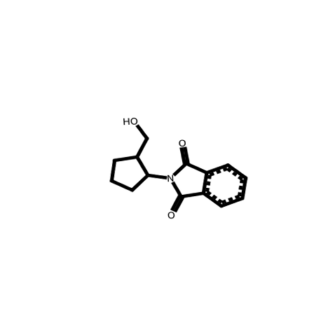 O=C1c2ccccc2C(=O)N1C1CCCC1CO